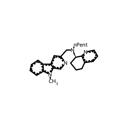 CCCCCN(Cc1cc2c3ccccc3n(C)c2cn1)[C@@H]1CCCc2cccnc21